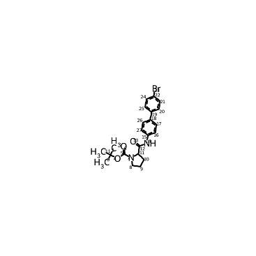 CC(C)(C)OC(=O)N1CCCC1C(=O)Nc1ccc(-c2ccc(Br)cc2)cc1